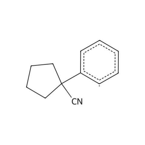 N#CC1(c2[c]cccc2)CCCC1